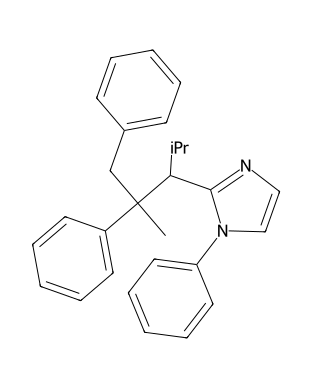 CC(C)C(c1nccn1-c1ccccc1)C(C)(Cc1ccccc1)c1ccccc1